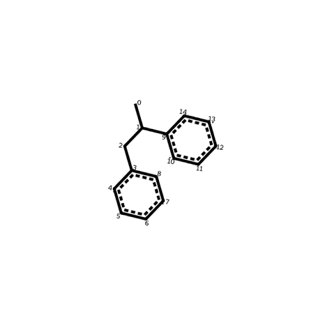 CC(Cc1[c]cc[c]c1)c1[c]cc[c]c1